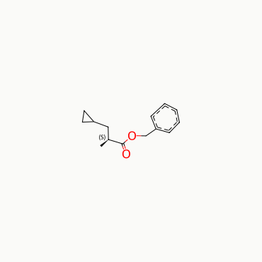 C[C@@H](CC1CC1)C(=O)OCc1ccccc1